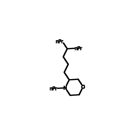 CCCC(CCC)CCCC1COCCN1CCC